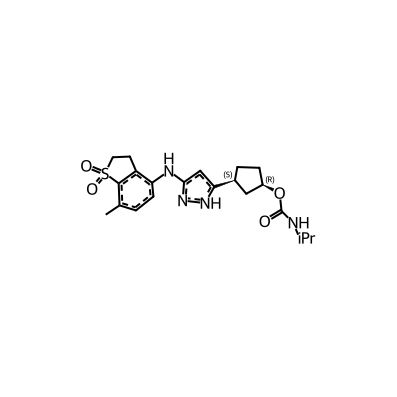 Cc1ccc(Nc2cc([C@H]3CC[C@@H](OC(=O)NC(C)C)C3)[nH]n2)c2c1S(=O)(=O)CC2